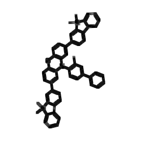 Cc1cc(-c2ccccc2)ccc1N1c2cc(-c3ccc4c(c3)[Si](C)(C)c3ccccc3-4)ccc2Oc2ccc(-c3ccc4c(c3)[Si](C)(C)c3ccccc3-4)cc21